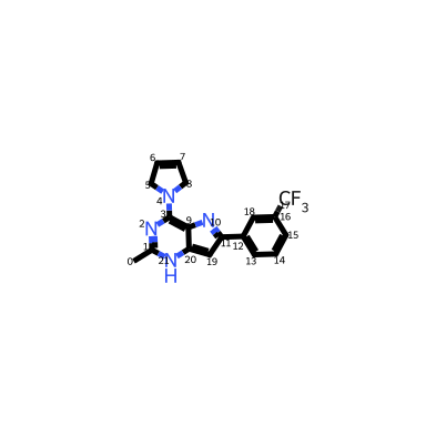 Cc1nc(N2CC=CC2)c2nc(-c3cccc(C(F)(F)F)c3)cc-2[nH]1